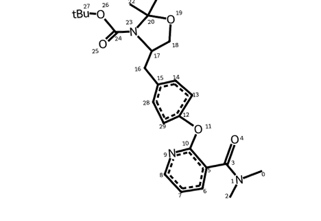 CN(C)C(=O)c1cccnc1Oc1ccc(CC2COC(C)(C)N2C(=O)OC(C)(C)C)cc1